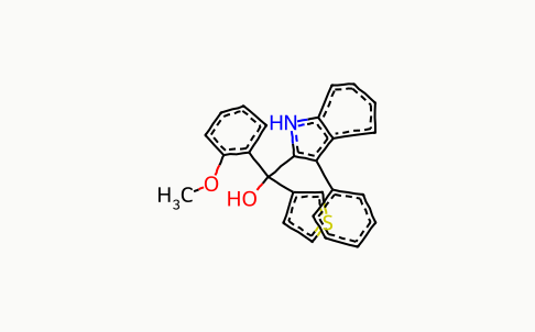 COc1ccccc1C(O)(c1ccsc1)c1[nH]c2ccccc2c1-c1ccccc1